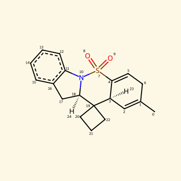 CC1=C[C@@H]2C(=CC1)S(=O)(=O)N1c3ccccc3C[C@@H]1C21CCC1